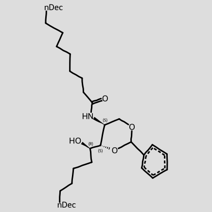 CCCCCCCCCCCCCCCCCC(=O)N[C@H]1COC(c2ccccc2)O[C@@H]1[C@H](O)CCCCCCCCCCCCCC